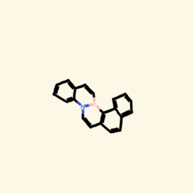 C1=Cc2ccccc2N2C=Cc3ccc4ccccc4c3B12